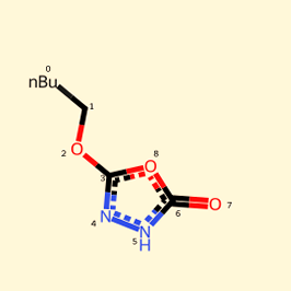 CCCCCOc1n[nH]c(=O)o1